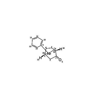 O=C1C[C@@H]2CC[C@H]1CN2c1ccccc1